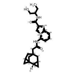 CCC(CO)NC(=O)c1cn2c(NC(=O)CC34CC5C[C@@H]5C5(CC5C3)C4)cccc2n1